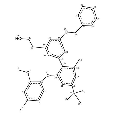 COc1cc(F)ccc1Oc1cc(C(C)(C)C)cc(C)c1-c1cc(OCc2ccccc2)cc(CCO)n1